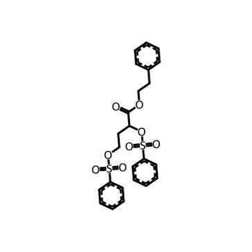 O=C(OCCc1ccccc1)C(CCOS(=O)(=O)c1ccccc1)OS(=O)(=O)c1ccccc1